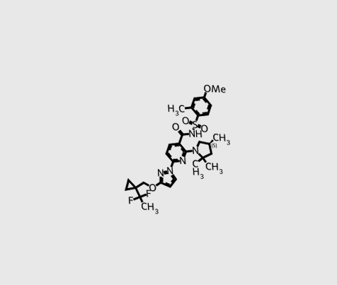 COc1ccc(S(=O)(=O)NC(=O)c2ccc(-n3ccc(OCC4(C(C)(F)F)CC4)n3)nc2N2C[C@@H](C)CC2(C)C)c(C)c1